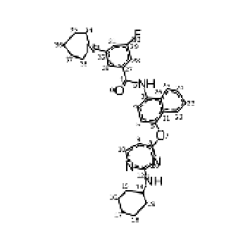 O=C(Nc1ccc(Oc2ccnc(NC3CCCCC3)n2)c2ccccc12)c1cc(F)cc(N2CCCCC2)c1